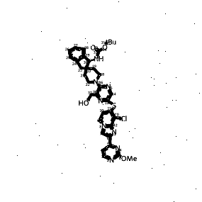 COc1nccc(-c2cn3ccc(Sc4cnc(N5CCC6(CC5)Cc5ccccc5[C@H]6NC(=O)OC(C)(C)C)c(CO)n4)c(Cl)c3n2)n1